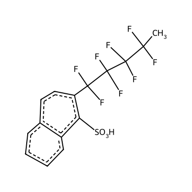 CC(F)(F)C(F)(F)C(F)(F)C(F)(F)c1ccc2ccccc2c1S(=O)(=O)O